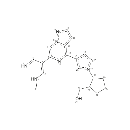 CN/C=C(\C=N)c1cn2nccc2c(-c2cnn(C3CCCC3CO)c2)n1